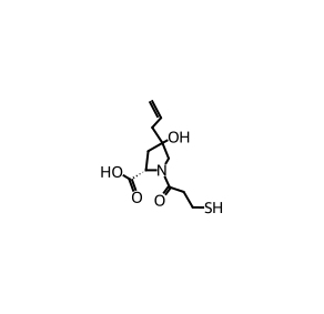 C=CCC1(O)C[C@@H](C(=O)O)N(C(=O)CCS)C1